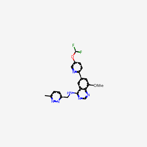 COc1cc(-c2ccc(OC(F)F)cn2)cc2c(NCc3ccc(C)nn3)ncnc12